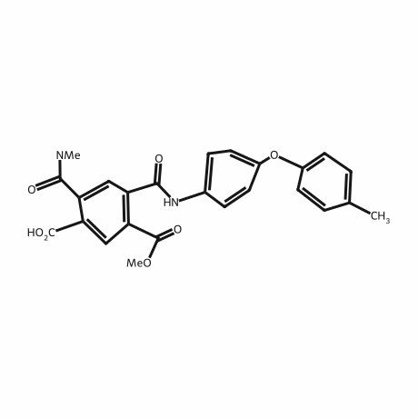 CNC(=O)c1cc(C(=O)Nc2ccc(Oc3ccc(C)cc3)cc2)c(C(=O)OC)cc1C(=O)O